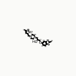 Cc1cc(CN2CCN(C[C@H](O)COc3ccc4sc(C)nc4c3)C[C@H]2C)no1